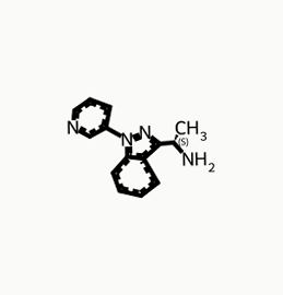 C[C@H](N)c1nn(-c2cccnc2)c2ccccc12